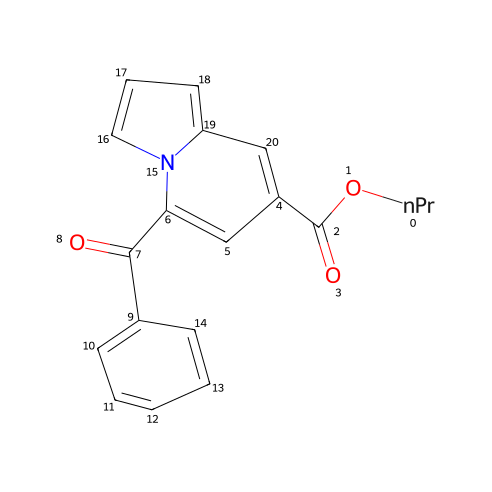 CCCOC(=O)c1cc(C(=O)c2ccccc2)n2cccc2c1